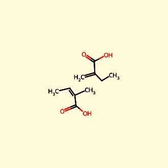 C=C(CC)C(=O)O.CC=C(C)C(=O)O